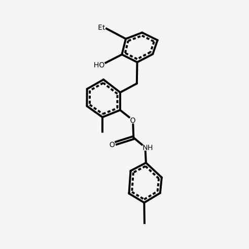 CCc1cccc(Cc2cccc(C)c2OC(=O)Nc2ccc(C)cc2)c1O